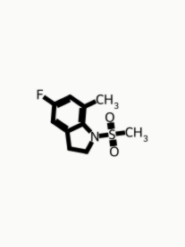 Cc1cc(F)cc2c1N(S(C)(=O)=O)CC2